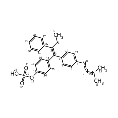 CC/C(=C(\c1ccc(N=NN(C)C)cc1)c1ccc(OS(=O)(=O)O)cc1)c1ccccc1